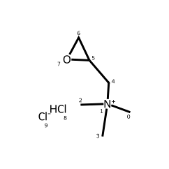 C[N+](C)(C)CC1CO1.Cl.[Cl-]